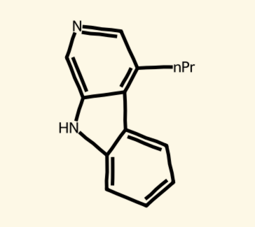 CCCc1cncc2[nH]c3ccccc3c12